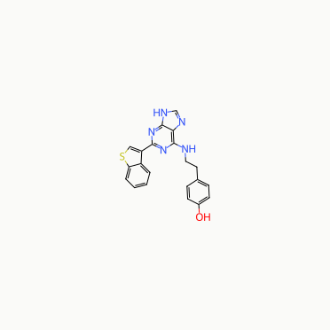 Oc1ccc(CCNc2nc(-c3csc4ccccc34)nc3[nH]cnc23)cc1